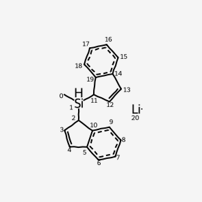 C[SiH](C1C=Cc2ccccc21)C1C=Cc2ccccc21.[Li]